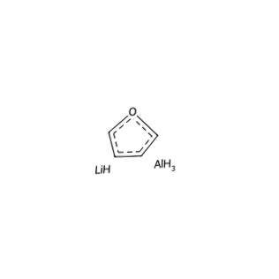 [AlH3].[LiH].c1ccoc1